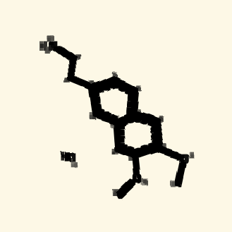 COc1cc2ccc(CCN)cc2cc1OC.Cl